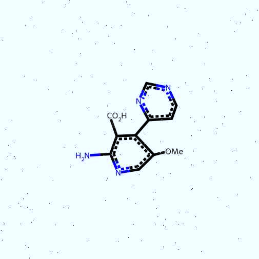 COc1cnc(N)c(C(=O)O)c1-c1ccncn1